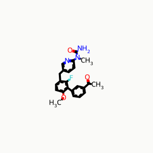 COc1ccc(Cc2ccc(N(C)C(N)=O)nc2)c(F)c1-c1cccc(C(C)=O)c1